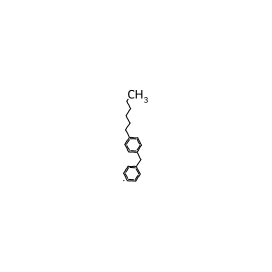 CCCCCCc1ccc(Cc2cc[c]cc2)cc1